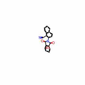 N#Cc1c(N2C(=O)c3c(c4ccc3o4)C2=O)ccc2ccccc12